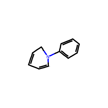 [C]1=CC=CCN1c1ccccc1